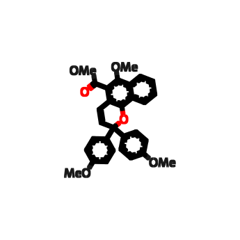 COC(=O)c1c2c(c3ccccc3c1OC)OC(c1ccc(OC)cc1)(c1ccc(OC)cc1)C=C2